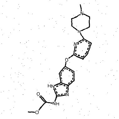 COC(=O)Nc1nc2ccc(Oc3cccc(N4CCN(C)CC4)n3)cc2[nH]1